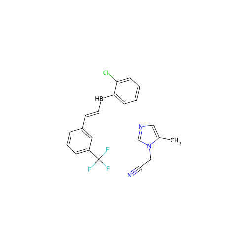 Cc1cncn1CC#N.FC(F)(F)c1cccc(C=CBc2ccccc2Cl)c1